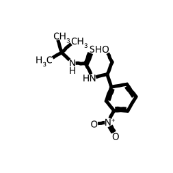 CC(C)(C)NC(=S)NC(CO)c1cccc([N+](=O)[O-])c1